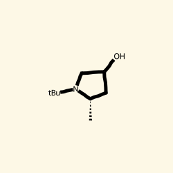 C[C@H]1CC(O)CN1C(C)(C)C